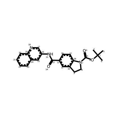 CC(C)(C)OC(=O)N1CCc2cc(C(=O)Nc3cnc4ccccc4c3)ccc21